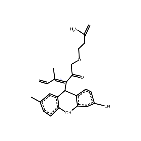 C=C/C(C)=C(/C(=O)COCCC(=C)N)C(c1ccc(C#N)cc1C)c1cc(C)ccc1O